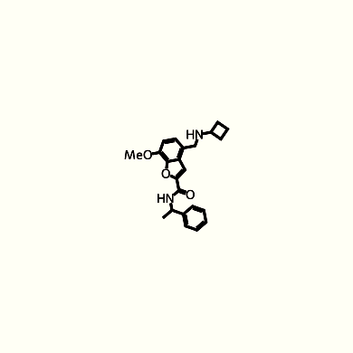 COc1ccc(CNC2CCC2)c2cc(C(=O)NC(C)c3ccccc3)oc12